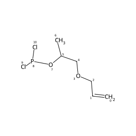 C=CCOCC(C)OP(Cl)Cl